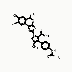 CC(=O)Nc1ccc(-c2c(C)nn(-c3nc4c(s3)SC(C)c3cc(Cl)c(Cl)cc3-4)c2C(=O)O)cc1